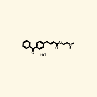 CN(C)CCOC(=O)C=CCc1ccc(C(=O)c2ccccc2)cc1.Cl